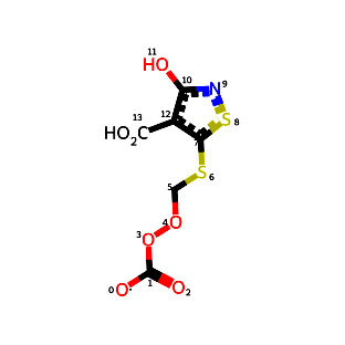 [O]C(=O)OOCSc1snc(O)c1C(=O)O